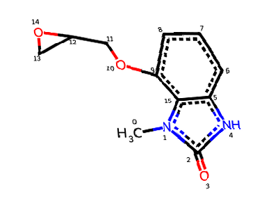 Cn1c(=O)[nH]c2cccc(OCC3CO3)c21